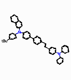 CC(C)(C)c1ccc(N(c2ccc(-c3ccc(/C=C/c4ccc(N(c5ccccc5)c5ccccc5)cc4)cc3)cc2)c2ccc3ccccc3c2)cc1